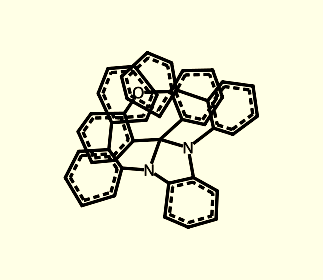 c1ccc(-c2ccccc2N2c3ccccc3N(c3ccccc3-c3ccccc3)C23c2ccccc2Oc2ccccc23)cc1